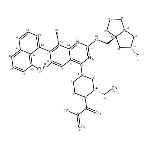 C=C(F)C(=O)N1CCN(c2nc(OC[C@@]34CCCN3C[C@H](F)C4)nc3c(F)c(-c4cccc5cccc(Cl)c45)c(Cl)cc23)C[C@@H]1CC#N